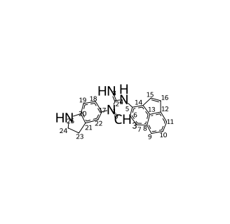 CN(C(=N)Nc1ccc2cccc3c2c1C=C3)c1ccc2c(c1)CCN2